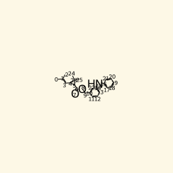 CC(C)=CC1C(C(=O)OCc2cccc(Nc3ccccc3)c2)C1(C)C